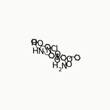 NC(=O)c1cc(S(=O)(=O)c2ccc(CCNC(Cc3ccccc3)[C@H](O)c3ccc(Cl)nc3)cc2)ccc1OCc1ccccc1